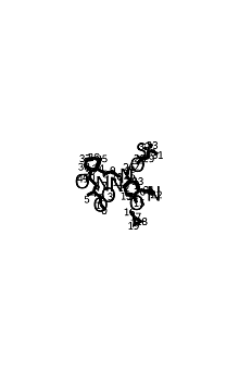 COC(=O)C(C)C1=NC(Cc2nc3cc(OCC4CC4)c(C#N)cc3n2COCC[Si](C)(C)C)c2ccccc2C1=O